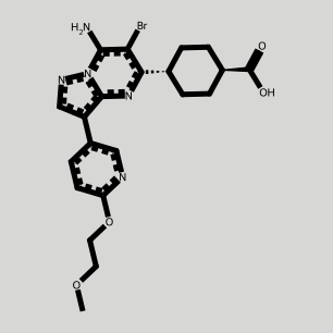 COCCOc1ccc(-c2cnn3c(N)c(Br)c([C@H]4CC[C@H](C(=O)O)CC4)nc23)cn1